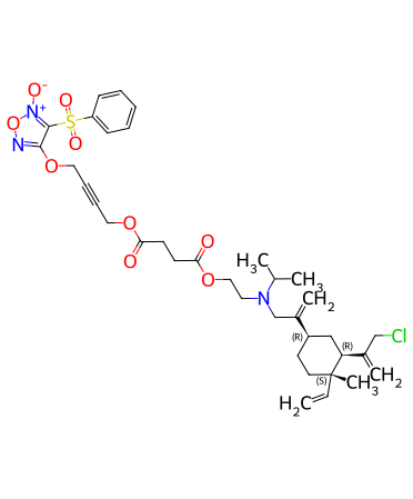 C=C[C@]1(C)CC[C@@H](C(=C)CN(CCOC(=O)CCC(=O)OCC#CCOc2no[n+]([O-])c2S(=O)(=O)c2ccccc2)C(C)C)C[C@H]1C(=C)CCl